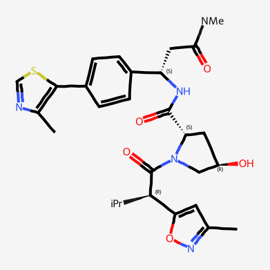 CNC(=O)C[C@H](NC(=O)[C@@H]1C[C@@H](O)CN1C(=O)[C@@H](c1cc(C)no1)C(C)C)c1ccc(-c2scnc2C)cc1